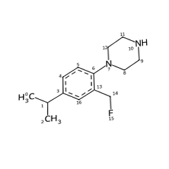 CC(C)c1ccc(N2CCNCC2)c(CF)c1